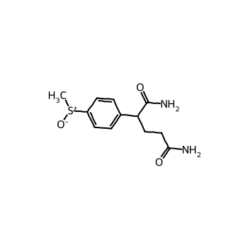 C[S+]([O-])c1ccc(C(CCC(N)=O)C(N)=O)cc1